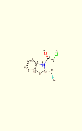 O=C(CCl)N1c2ccccc2C[C@H]1CF